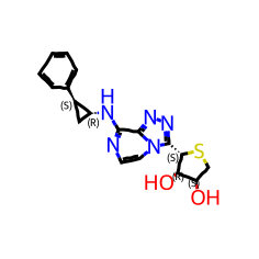 O[C@@H]1[C@H](O)CS[C@H]1c1nnc2c(N[C@@H]3C[C@H]3c3ccccc3)nccn12